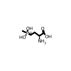 C[PH](O)(O)CC[C@H](N)C(=O)O